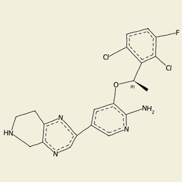 C[C@@H](Oc1cc(-c2cnc3c(n2)CCNC3)cnc1N)c1c(Cl)ccc(F)c1Cl